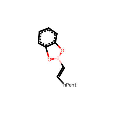 CCCCC/C=C/B1Oc2ccccc2O1